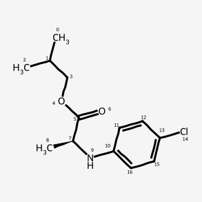 CC(C)COC(=O)[C@H](C)Nc1ccc(Cl)cc1